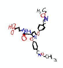 CCON=C=C1C=CC(Oc2ccc(C(=O)NCCC(=O)O)c(OC3C=CC(=C=NOCC)C=C3)n2)C=C1